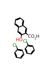 Clc1ccccc1.Clc1ccccc1.O=C(O)c1cc2ccccc2cc1O